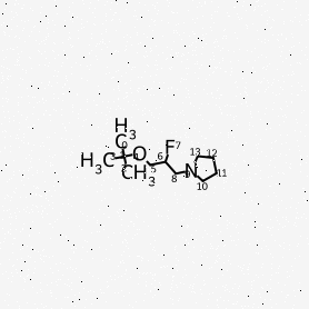 CC(C)(C)OCC(F)CN1CCCC1